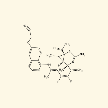 C#CCOc1cnc2c(N/C(C)=C/C(F)=C(/F)C(=C)[C@@]3(C)N=C(N)S[C@]4(C(N)=O)[C@H]3[C@@H]4C)ncnc2c1